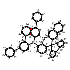 c1ccc(-c2ccc(N(c3ccc(-c4ccccc4)cc3-c3ccccc3)c3cccc4c3Oc3cc5ccccc5cc3C43c4ccccc4-c4ccccc43)cc2)cc1